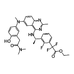 CCOC(=O)C(F)(F)c1cccc([C@@H](C)Nc2nc(C)nc3ccc(N(C)c4ccc(O)c(CC(=O)N(C)C)c4)cc23)c1F